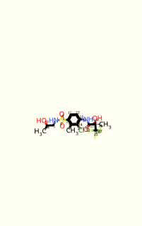 Cc1c(S(=O)(=O)NCC(C)O)ccc(NC(=O)[C@@](C)(O)C(F)(F)F)c1Cl